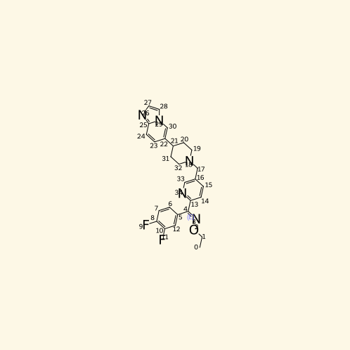 CCO/N=C(\c1ccc(F)c(F)c1)c1ccc(CN2CCC(c3ccc4nccn4c3)CC2)cn1